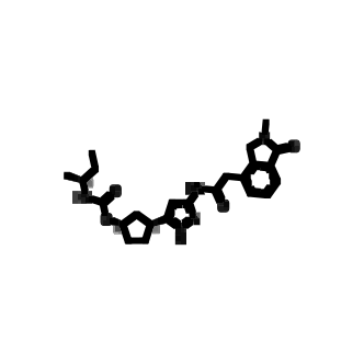 CC[C@H](C)NC(=O)O[C@@H]1CC[C@H](c2cc(NC(=O)Cc3cccc4c3CN(C)C4=O)n[nH]2)C1